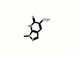 CCOC(=O)c1cc2cnn(C)c2[nH]c1=O